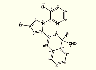 O=CC1(Br)OC(c2cc(Br)cn2-c2ncccc2Cl)=Nc2ccccc21